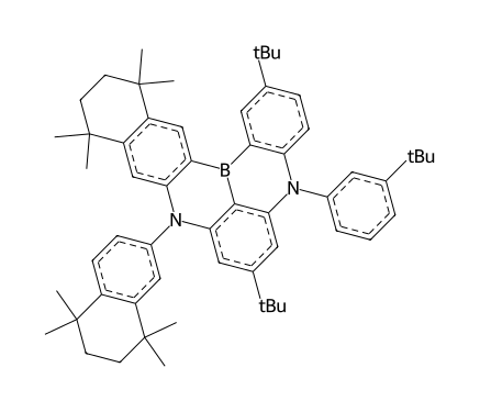 CC(C)(C)c1cccc(N2c3ccc(C(C)(C)C)cc3B3c4cc5c(cc4N(c4ccc6c(c4)C(C)(C)CCC6(C)C)c4cc(C(C)(C)C)cc2c43)C(C)(C)CCC5(C)C)c1